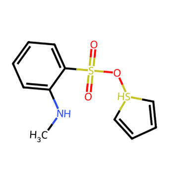 CNc1ccccc1S(=O)(=O)O[SH]1C=CC=C1